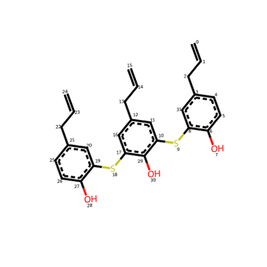 C=CCc1ccc(O)c(Sc2cc(CC=C)cc(Sc3cc(CC=C)ccc3O)c2O)c1